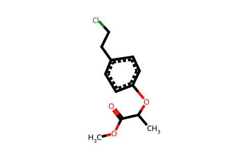 COC(=O)C(C)Oc1ccc(CCCl)cc1